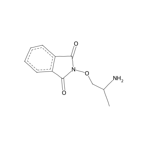 CC(N)CON1C(=O)c2ccccc2C1=O